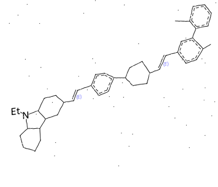 CCN1C2CCCCC2C2CC(/C=C/c3ccc(C4CCC(/C=C/c5ccc(C)c(-c6ccccc6C)c5)CC4)cc3)CCC21